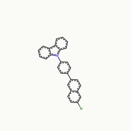 Brc1ccc2cc(-c3ccc(-n4c5ccccc5c5ccccc54)cc3)ccc2c1